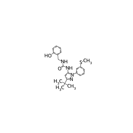 CSc1cccc(-n2nc(C(C)(C)C)cc2NC(=O)NCc2ccccc2O)c1